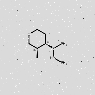 C[C@H]1COCC[C@H]1P(P)PP